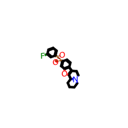 O=S(=O)(c1cccc(F)c1)c1ccc2c3c(oc2c1)C1CCCCN1CC3